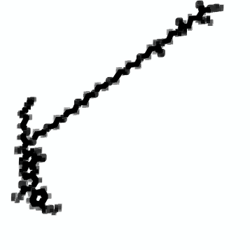 CC(C)COC(=O)[C@@H](N)CCC(=O)NCCNC(=O)CCOCCOCCOCCOCCOCCOCCOCCOC(COCCN=[N+]=[N-])Nc1nc2ncc(CN(C(=O)C(F)(F)F)c3ccc(C(=O)O)cc3)nc2c(=O)[nH]1